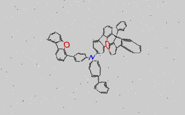 c1ccc(-c2ccc(N(c3ccc(-c4cccc5c4oc4ccccc45)cc3)c3ccc4c(c3)oc3c(C5(c6ccccc6)c6ccccc6-c6ccccc65)cccc34)cc2)cc1